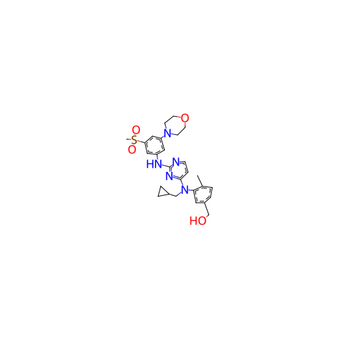 Cc1ccc(CO)cc1N(CC1CC1)c1ccnc(Nc2cc(N3CCOCC3)cc(S(C)(=O)=O)c2)n1